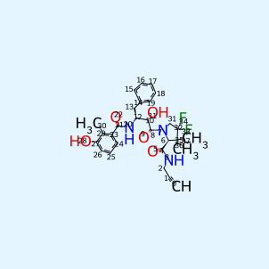 C#CCNC(=O)[C@H]1N(C(=O)[C@@H](O)[C@H](Cc2ccccc2)NC(=O)c2cccc(O)c2C)CC(F)(F)C1(C)C